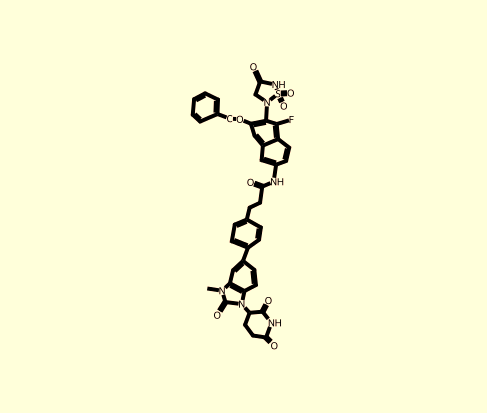 Cn1c(=O)n(C2CCC(=O)NC2=O)c2ccc(-c3ccc(CCC(=O)Nc4ccc5c(F)c(N6CC(=O)NS6(=O)=O)c(OCc6ccccc6)cc5c4)cc3)cc21